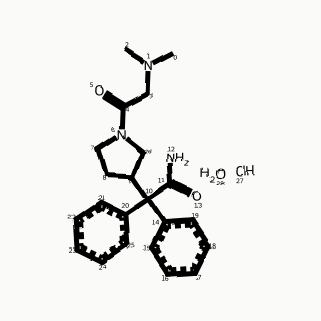 CN(C)CC(=O)N1CCC(C(C(N)=O)(c2ccccc2)c2ccccc2)C1.Cl.O